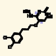 C=C/C=C(OCCCc1ccc(Cl)c(Cl)c1)\C(=N/C(=C)N)NCCCC